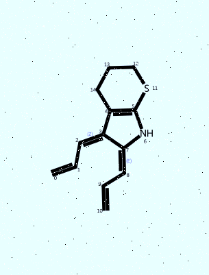 C=C/C=c1/c2c([nH]/c1=C/C=C)SCCC2